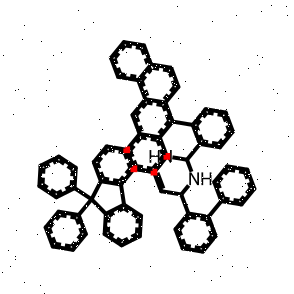 C1=C(c2cccc3c2-c2ccccc2C3(c2ccccc2)c2ccccc2)NC(c2ccccc2-c2c3ccccc3cc3c2ccc2ccccc23)NC1c1ccccc1-c1ccccc1